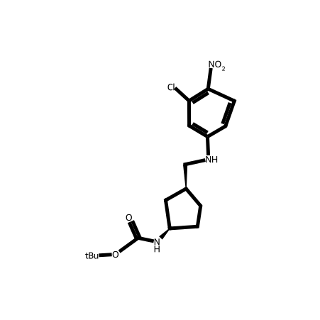 CC(C)(C)OC(=O)N[C@@H]1CC[C@H](CNc2ccc([N+](=O)[O-])c(Cl)c2)C1